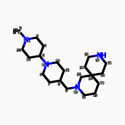 CC(C)N1CCC(N2CCC(CN3CCCC4(CCNCC4)C3)CC2)CC1